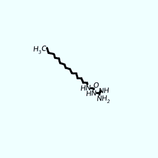 CCCCCCCCCCCCCCCCNC(=O)NC(=N)N